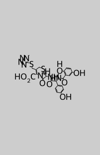 Cn1nnnc1SCC1=C(C(=O)O)N2C(=O)C(NC(=O)C(NC(=O)c3cc(O)ccc3O)c3ccc(O)cc3)[C@@H]2SC1